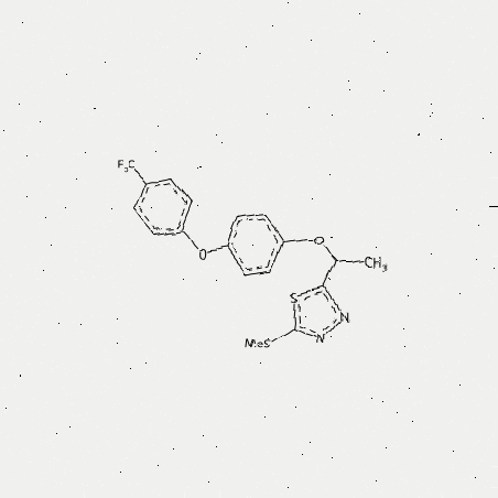 CSc1nnc(C(C)Oc2ccc(Oc3ccc(C(F)(F)F)cc3)cc2)s1